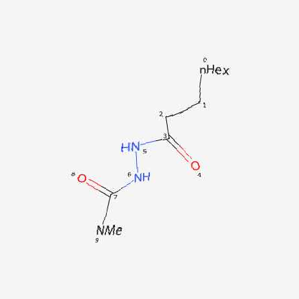 CCCCCCCCC(=O)NNC(=O)NC